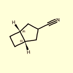 N#CC1C[C@H]2CC[C@H]2C1